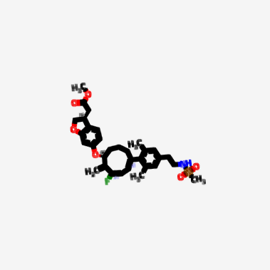 C=C1/C(F)=C\C=C(\c2c(C)cc(CCNS(C)(=O)=O)cc2C)CCC[C@H]1Oc1ccc2c(c1)OC[C@H]2CC(=O)OC